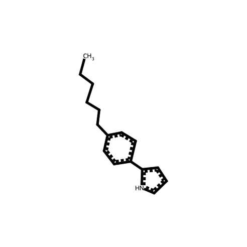 CCCCCCc1ccc(-c2ccc[nH]2)cc1